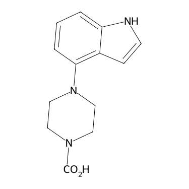 O=C(O)N1CCN(c2cccc3[nH]ccc23)CC1